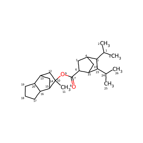 CC(C)C1C2CC(C(=O)OC3(C)CC4CC3C3CCCC43)C(C2)C1C(C)C